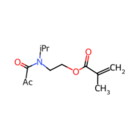 C=C(C)C(=O)OCCN(C(=O)C(C)=O)C(C)C